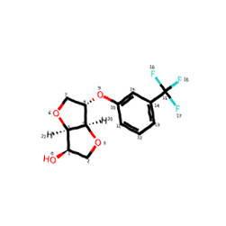 O[C@@H]1CO[C@H]2[C@@H]1OC[C@@H]2Oc1cccc(C(F)(F)F)c1